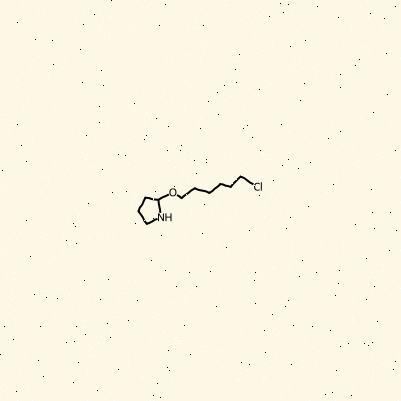 ClCCCCCCOC1CCCN1